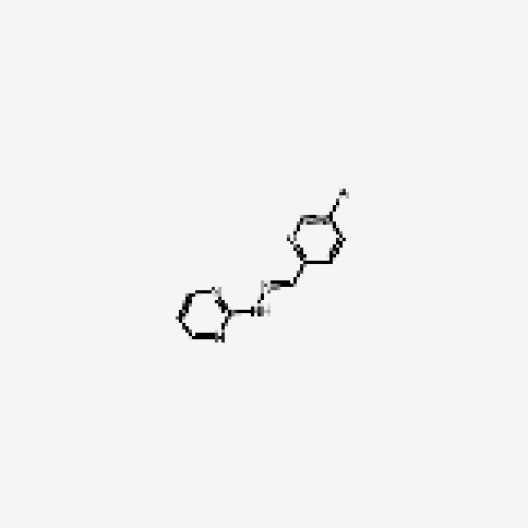 Brc1ccc(C=NNc2ncccn2)nc1